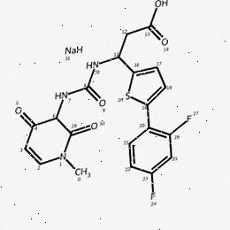 CN1C=CC(=O)C(NC(=O)NC(CC(=O)O)c2ccc(-c3ccc(F)cc3F)s2)C1=O.[NaH]